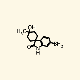 Bc1ccc2c(c1)NC(=O)C21CCC(C)(O)CC1